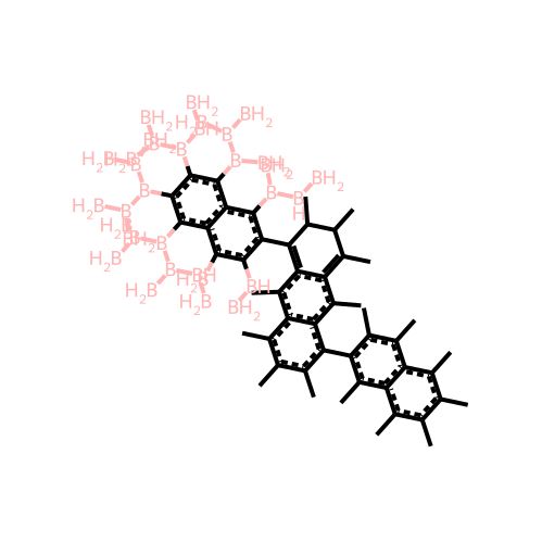 BBB(B)B(B(B)B)c1c(B(B(B)B)B(B)B)c(B(BB)B(B)B)c(B(B)B(B)B)c2c(B(B)BB)c(C3=c4c(C)c5c(C)c(C)c(C)c(-c6c(C)c(C)c7c(C)c(C)c(C)c(C)c7c6C)c5c(C)c4=C(C)C(C)C3C)c(BB)c(B)c12